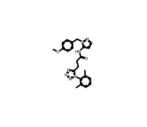 COc1ccc(Cn2nccc2NC(=O)CCc2nnnn2-c2c(C)cccc2C)cc1